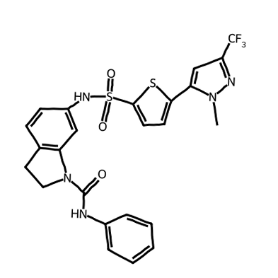 Cn1nc(C(F)(F)F)cc1-c1ccc(S(=O)(=O)Nc2ccc3c(c2)N(C(=O)Nc2ccccc2)CC3)s1